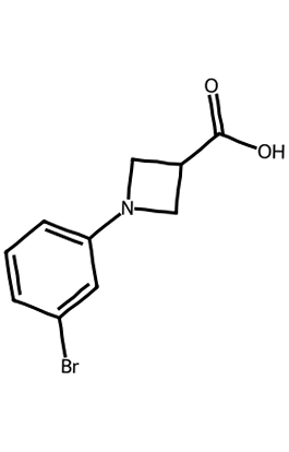 O=C(O)C1CN(c2cccc(Br)c2)C1